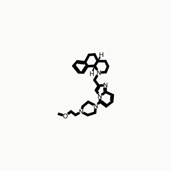 COCCN1CCN(c2cccc3nc(CN4CCC[C@H]5CCc6ccccc6[C@H]54)cn23)CC1